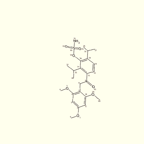 COc1cc(OC)c(CC(=O)c2ccc(C(C)C)c(OS(N)(=O)=O)c2C(C)C)c(OC)c1